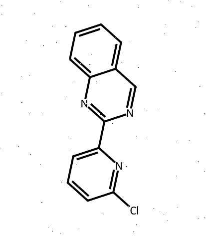 Clc1cccc(-c2ncc3ccccc3n2)n1